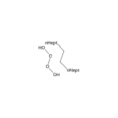 CCCCCCCCCCCCCCCC.OOOO